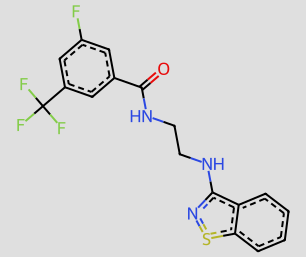 O=C(NCCNc1nsc2ccccc12)c1cc(F)cc(C(F)(F)F)c1